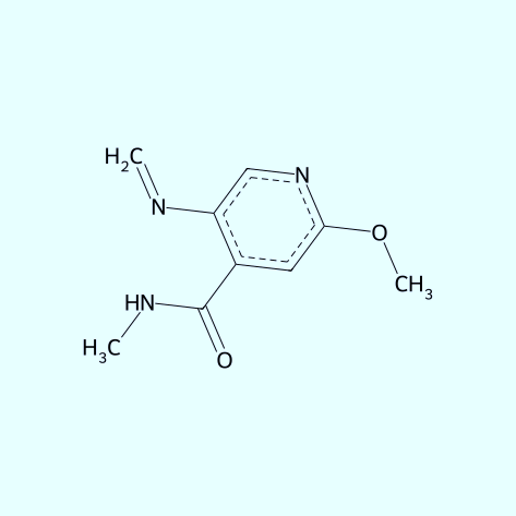 C=Nc1cnc(OC)cc1C(=O)NC